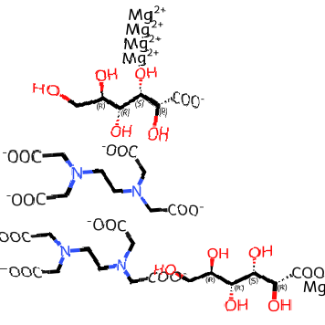 O=C([O-])CN(CCN(CC(=O)[O-])CC(=O)[O-])CC(=O)[O-].O=C([O-])CN(CCN(CC(=O)[O-])CC(=O)[O-])CC(=O)[O-].O=C([O-])[C@H](O)[C@@H](O)[C@H](O)[C@H](O)CO.O=C([O-])[C@H](O)[C@@H](O)[C@H](O)[C@H](O)CO.[Mg+2].[Mg+2].[Mg+2].[Mg+2].[Mg+2]